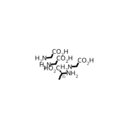 C[C@H](N)C(=O)O.NCC(=O)O.NCC(=O)O.NCC(=O)O